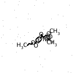 CCCCOC(=O)N1CCN(C(=O)[C@@H](N)CP(=O)(OCC)OCC)CC1